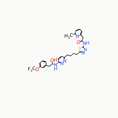 Cc1cccc(CC(=O)Nc2nnc(CCCCc3ccc(NC(O)Cc4cccc(OC(F)(F)F)c4)nn3)s2)n1